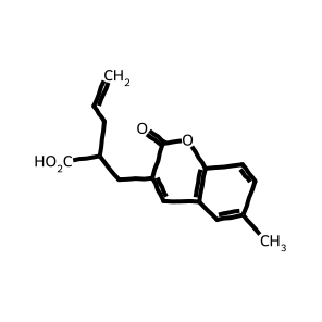 C=CCC(Cc1cc2cc(C)ccc2oc1=O)C(=O)O